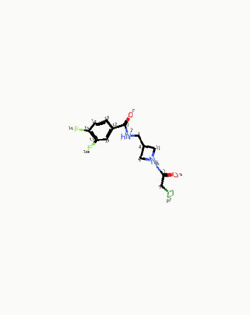 O=C(NCC1CN(C(=O)CCl)C1)c1ccc(F)c(F)c1